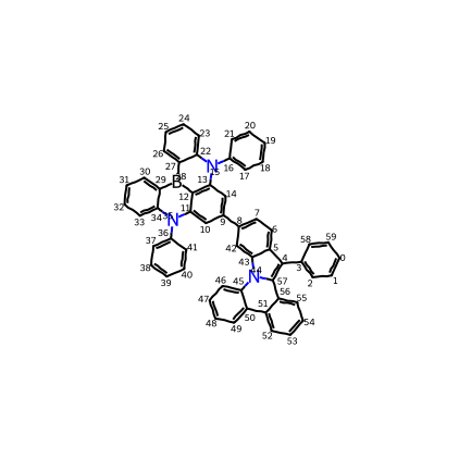 c1ccc(-c2c3ccc(-c4cc5c6c(c4)N(c4ccccc4)c4ccccc4B6c4ccccc4N5c4ccccc4)cc3n3c4ccccc4c4ccccc4c23)cc1